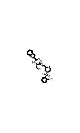 CC(C)C[C@@H](NC(=O)c1cc2ccccc2s1)C(=O)NCC1CN(S(=O)(=O)c2ccccc2C#N)CCO1